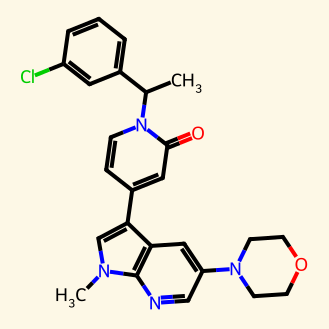 CC(c1cccc(Cl)c1)n1ccc(-c2cn(C)c3ncc(N4CCOCC4)cc23)cc1=O